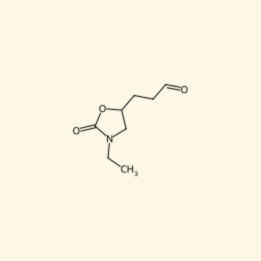 CCN1CC(CCC=O)OC1=O